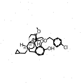 CO[C@]12CC[C@@]3(C[C@@H]1COCc1ccc(Cl)cc1)[C@H]1Cc4ccc(O)c5c4[C@@]3(CCN1CC1CC1)[C@H]2O5